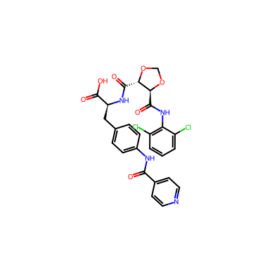 O=C(Nc1ccc(C[C@H](NC(=O)[C@@H]2OCO[C@H]2C(=O)Nc2c(Cl)cccc2Cl)C(=O)O)cc1)c1ccncc1